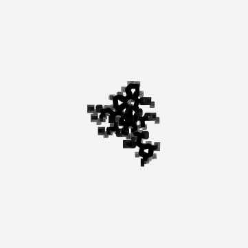 CC(C)C[C@H](NC(=O)[C@@H](O)c1cc(F)cc(F)c1)C(=O)C(=O)[C@H](CC(C)C)N(NN1C(=O)C(C)c2ccccc2-c2ccccc21)C(=O)[C@@H](N)CC(C)C